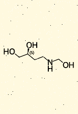 OCNCC[C@H](O)CO